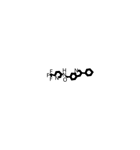 O=C(Nc1ccc(C(F)(F)F)nc1)c1ccc2cc(-c3ccccc3)cnc2c1